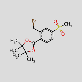 CC1(C)OB(c2ccc(S(C)(=O)=O)cc2CBr)OC1(C)C